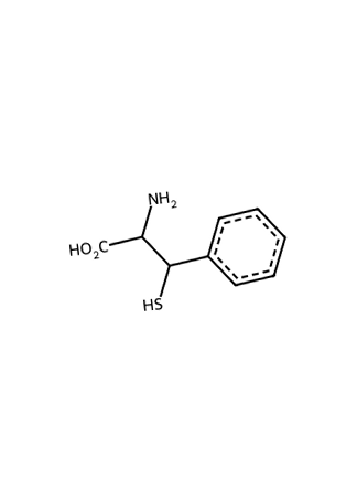 NC(C(=O)O)C(S)c1ccccc1